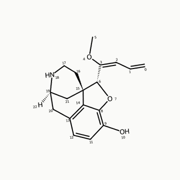 C=C/C=C(/OC)[C@@H]1Oc2c(O)ccc3c2[C@@]12CCN[C@H](C3)C2